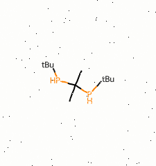 CC(C)(C)PC(C)(C)PC(C)(C)C